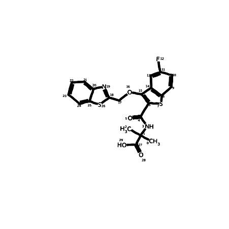 CC(C)(NC(=O)c1sc2ccc(F)cc2c1OCc1nc2ccccc2s1)C(=O)O